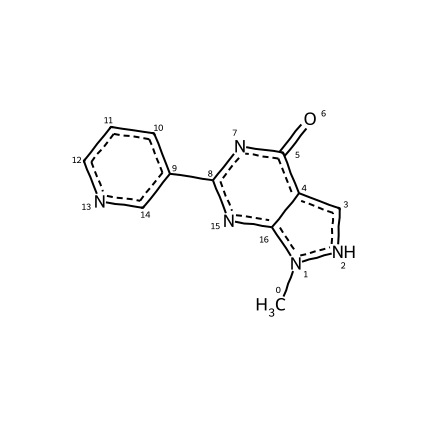 Cn1[nH]cc2c(=O)nc(-c3cccnc3)nc1-2